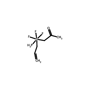 C=CCS(F)(F)(F)(P)CC(C)=O